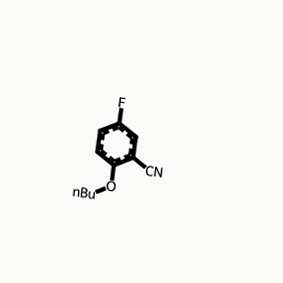 CCCCOc1ccc(F)cc1C#N